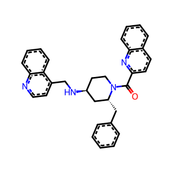 O=C(c1ccc2ccccc2n1)N1CC[C@H](NCc2ccnc3ccccc23)C[C@H]1Cc1ccccc1